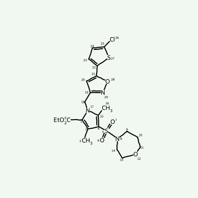 CCOC(=O)c1c(C)c(S(=O)(=O)N2CCCOCC2)c(C)n1Cc1cc(-c2ccc(Cl)s2)on1